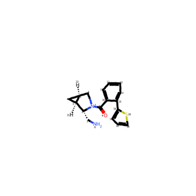 NC[C@@H]1[C@H]2C[C@H]2CN1C(=O)c1ccccc1-c1cccs1